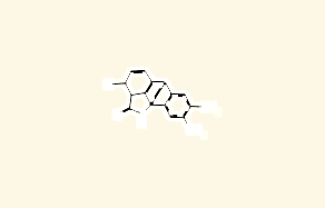 Cc1cc2c(cc1C)C13C=CC2C2=C1C(C(=O)N3)C(Cl)C=C2